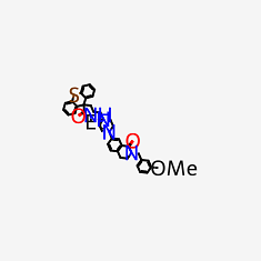 CCNC(=O)C1(CCCN2CCN(c3ccc4c(c3)C(=O)N(Cc3cccc(OC)c3)CC4)CC2)c2ccccc2Sc2ccccc21